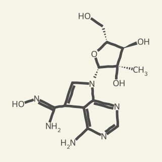 C[C@@]1(O)[C@H](O)[C@@H](CO)O[C@H]1n1cc(/C(N)=N/O)c2c(N)ncnc21